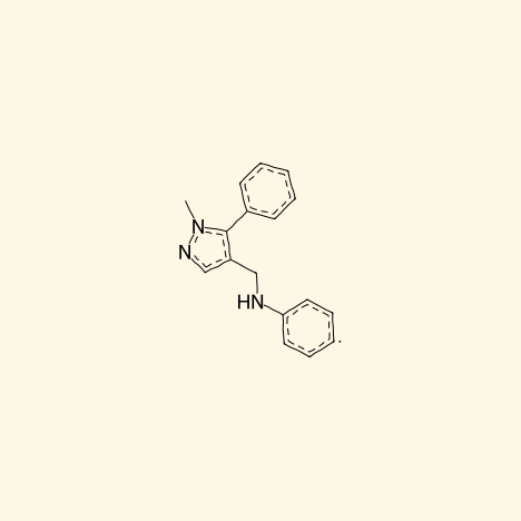 Cn1ncc(CNc2cc[c]cc2)c1-c1ccccc1